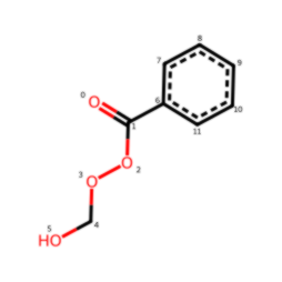 O=C(OOCO)c1ccccc1